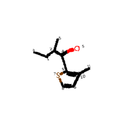 CCC(C)C(=O)c1sccc1C